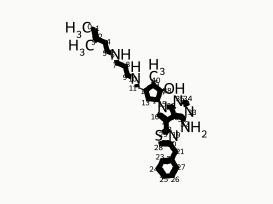 C/C=C(\C)CCNCCCNC[C@H]1C[C@@H](n2cc(-c3nc(Cc4ccccc4)cs3)c3c(N)ncnc32)[C@H](O)[C@@H]1C